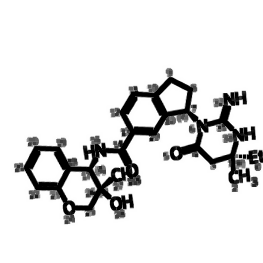 CC[C@]1(C)CC(=O)N([C@@H]2CCc3ccc(C(=O)N[C@@H]4c5ccccc5OC[C@@]4(C)O)cc32)C(=N)N1